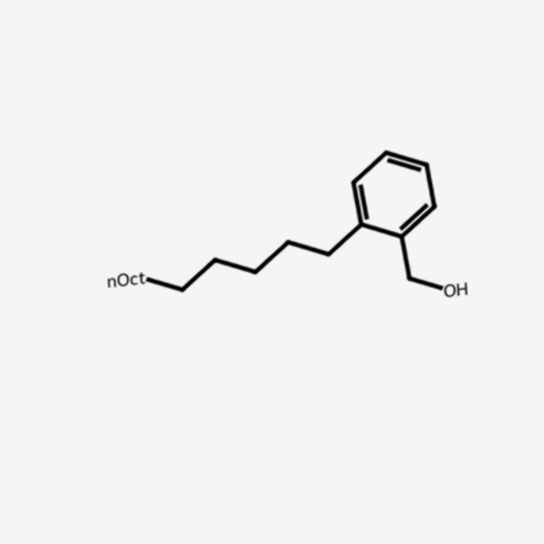 CCCCCCCCCCCCCc1ccccc1CO